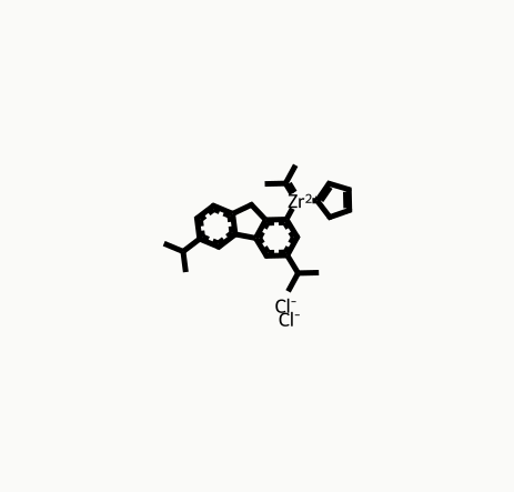 C[C](C)=[Zr+2]([C]1=CC=CC1)[c]1cc(C(C)C)cc2c1Cc1ccc(C(C)C)cc1-2.[Cl-].[Cl-]